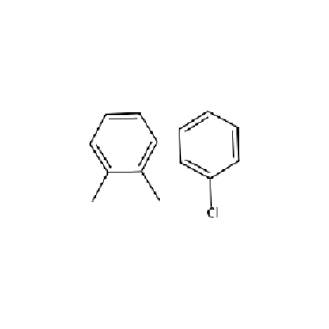 Cc1ccccc1C.Clc1ccccc1